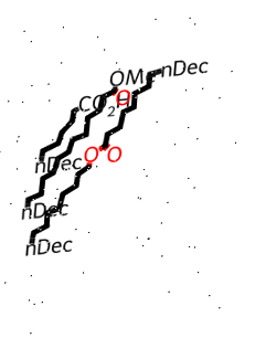 CCCCCCCCCCCCCCCC(=O)O.CCCCCCCCCCCCCCCCCCCCCC(=O)OC.CCCCCCCCCCCCCCCCCCOC(=O)CCCCCCCCCCCCCCCCC